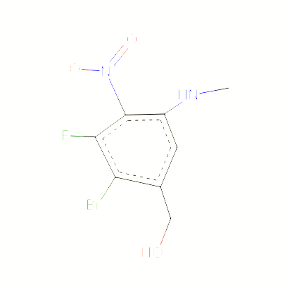 CNc1cc(CO)c(Br)c(F)c1[N+](=O)[O-]